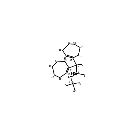 C[SiH](O[Si](C)(C)C)C(C)(C1=CCCCCC1)C1=CCCCCC1